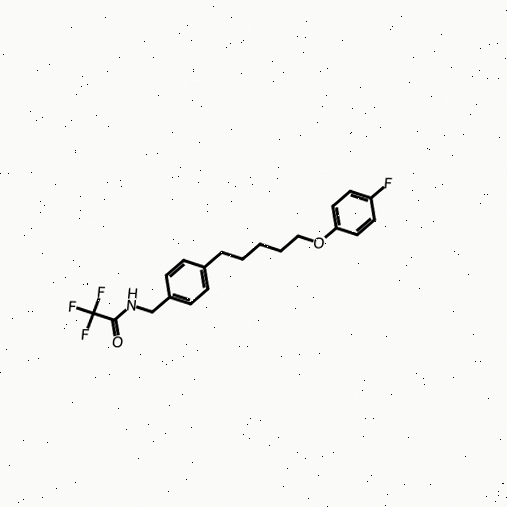 O=C(NCc1ccc(CCCCCOc2ccc(F)cc2)cc1)C(F)(F)F